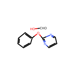 O=CO.c1ccc(Oc2ncccn2)cc1